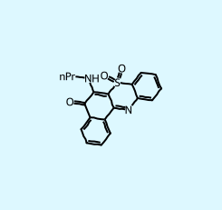 CCCNC1=C2C(=Nc3ccccc3S2(=O)=O)c2ccccc2C1=O